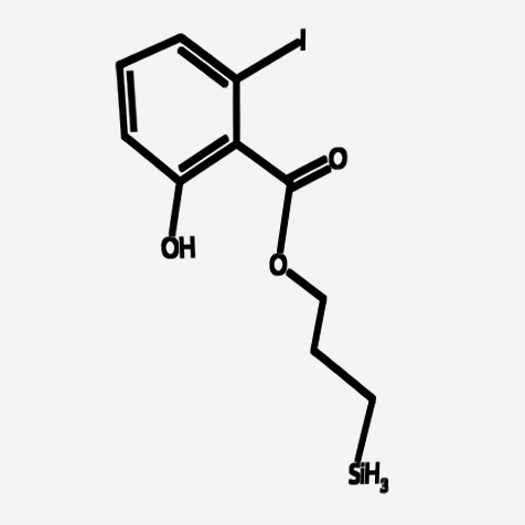 O=C(OCCC[SiH3])c1c(O)cccc1I